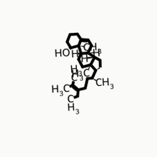 CCC(CC[C@@H](C)[C@H]1CC[C@H]2[C@@H]3CC=C4CCCC(O)[C@]4(C)[C@H]3CC[C@]12C)=C(C)C